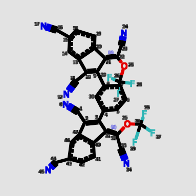 N#CC1=C(c2cccc(C3=C(C#N)c4cc(C#N)ccc4/C3=C(\C#N)OC(F)(F)F)c2)/C(=C(/C#N)OC(F)(F)F)c2ccc(C#N)cc21